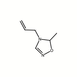 C=C[CH]N1C=NOC1C